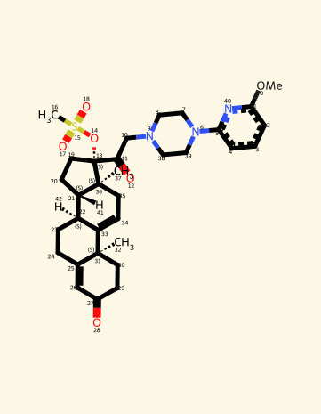 COc1cccc(N2CCN(CC(=O)[C@]3(OS(C)(=O)=O)CC[C@H]4[C@@H]5CCC6=CC(=O)CC[C@]6(C)C5=CC[C@@]43C)CC2)n1